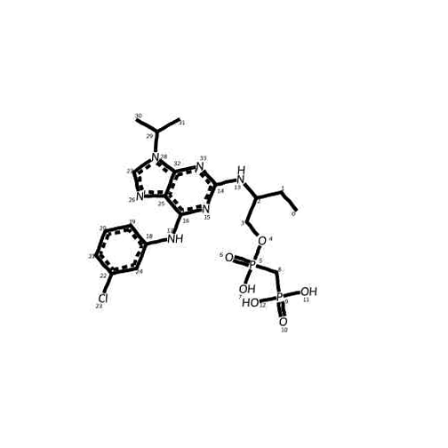 CCC(COP(=O)(O)CP(=O)(O)O)Nc1nc(Nc2cccc(Cl)c2)c2ncn(C(C)C)c2n1